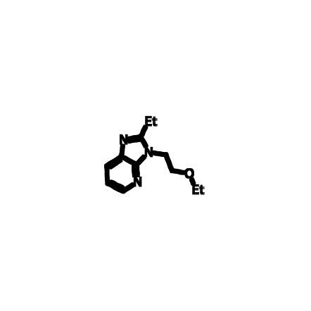 CCOCCn1c(CC)nc2cccnc21